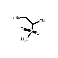 CCCCCC(C#N)S(C)(=O)=O